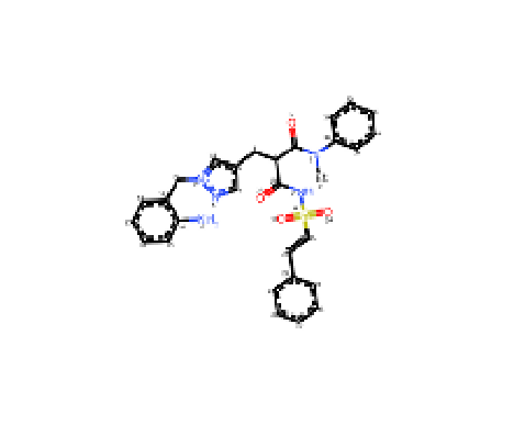 CCN(C(=O)C(Cc1cnn(Cc2ccccc2N)c1)C(=O)NS(=O)(=O)C=Cc1ccccc1)c1ccccc1